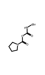 CC(C)(C)NC(=O)OC(=O)N1CCCC1